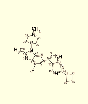 Cc1nc2c(F)cc(-c3c[nH]c4nc(C5CCC5)ncc34)cc2n1C1CCN(C)CC1